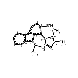 Cc1ccc2c3ccccc3n(C(C)C)c2c1N1C=CN(C)[C@@H]1C